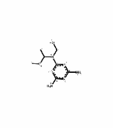 COC(C)N(CO)c1nc(N)nc(N)n1